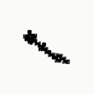 O=C(CCCCC1SC[C@@H]2NC(=O)N[C@H]12)NCCOCCOc1ccc(CCCl)cc1